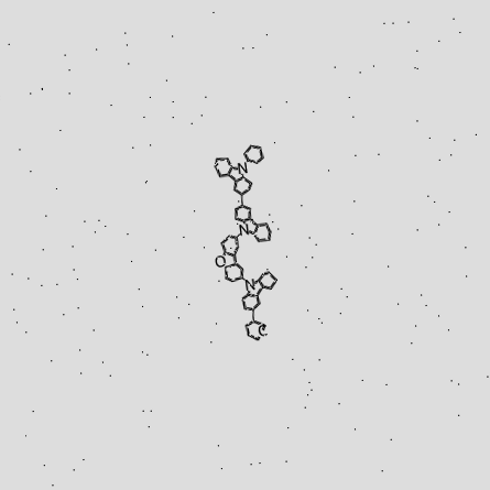 c1ccc(-c2ccc3c(c2)c2ccccc2n3-c2ccc3oc4ccc(-n5c6ccccc6c6cc(-c7ccc8c(c7)c7ccccc7n8-c7ccccc7)ccc65)cc4c3c2)cc1